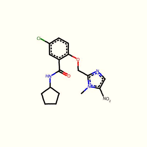 Cn1c([N+](=O)[O-])cnc1COc1ccc(Cl)cc1C(=O)NC1CCCC1